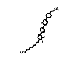 CCCCCCCCCCc1ccc(-c2ccc(-c3ccc(C4=CCC(CCC)CC4)cc3F)cc2)c(F)c1F